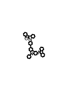 c1ccc(-n2c3ccc(-c4ccc(-n5c6ccccc6c6c7ccccc7oc65)cc4)cc3c3cc(-n4c5ccccc5c5ccccc54)ccc32)cc1